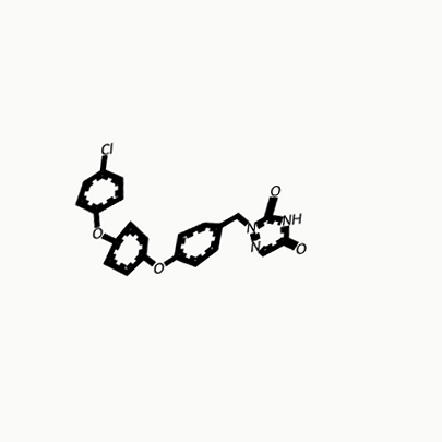 O=c1cnn(Cc2ccc(Oc3ccc(Oc4ccc(Cl)cc4)cc3)cc2)c(=O)[nH]1